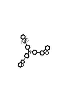 c1ccc2oc(-c3ccc(N(c4ccc(-c5ccc6oc7ccccc7c6c5)cc4)c4ccc(-c5cc6ccccn6c5)cc4)cc3)nc2c1